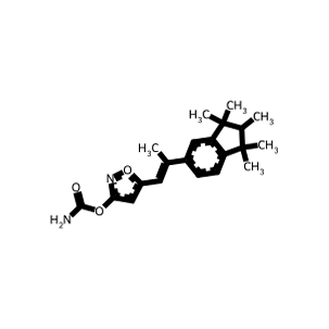 C/C(=C\c1cc(OC(N)=O)no1)c1ccc2c(c1)C(C)(C)C(C)C2(C)C